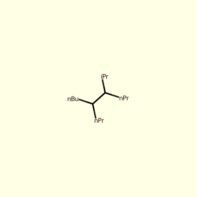 CCCCC(CCC)C(CCC)C(C)C